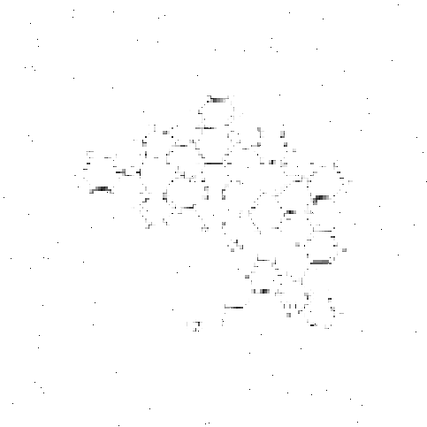 CCCCc1cccc(N(c2ccccc2)c2cccc(-c3c4ccccc4c(-c4cccc(-c5c6ccccc6c(-c6cccc(N(c7ccccc7)c7cccc(CCCC)c7C)c6)c6ccccc56)c4)c4ccccc34)c2)c1C